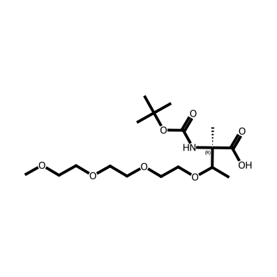 COCCOCCOCCOC(C)[C@@](C)(NC(=O)OC(C)(C)C)C(=O)O